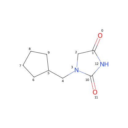 O=C1CN(CC2CCCC2)C(=O)N1